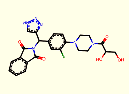 O=C(C(O)CO)N1CCN(c2ccc(C(c3c[nH]nn3)N3C(=O)c4ccccc4C3=O)cc2F)CC1